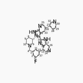 Fc1cc(CN2CCCCC2)cc(-c2cncc3[nH]c(-c4n[nH]c5ncc(-c6cccnc6)cc45)nc23)c1